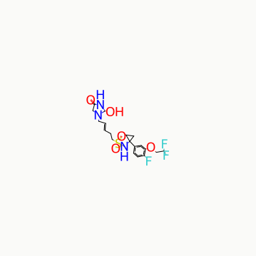 O=C1CN(C/C=C/CCS(=O)(=O)NC2(c3ccc(F)c(OCC(F)F)c3)CC2)C(O)N1